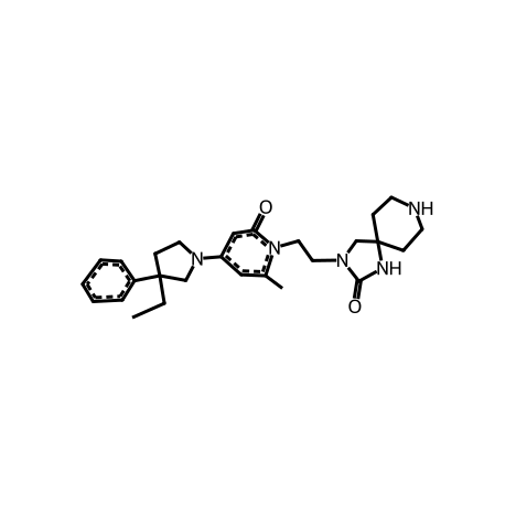 CCC1(c2ccccc2)CCN(c2cc(C)n(CCN3CC4(CCNCC4)NC3=O)c(=O)c2)C1